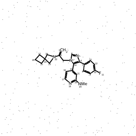 C=C(Cn1cnc(-c2ccc(F)cc2)c1-c1ccnc(NC)c1)N1CC2(CCC2)C1